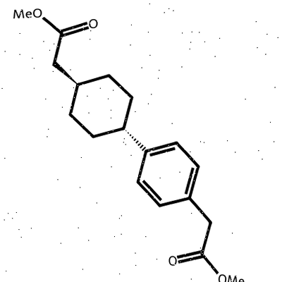 COC(=O)Cc1ccc([C@H]2CC[C@H](CC(=O)OC)CC2)cc1